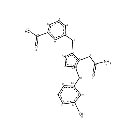 NC(=O)Cc1c(Cc2cccc(C(=O)O)c2)ncn1Cc1cccc(O)c1